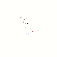 CNCCC1(C(=O)NO)CCc2cc(C(N)=O)ccc2C1